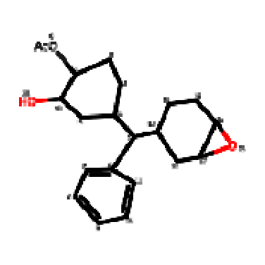 CC(=O)OC1CCC(C(c2ccccc2)C2CCC3OC3C2)CC1O